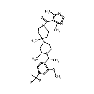 COc1cc(C(F)(F)F)ccc1[C@@H](C)N1CCN(C2(C)CCN(C(=O)c3c(C)ncnc3C)CC2)C[C@@H]1C